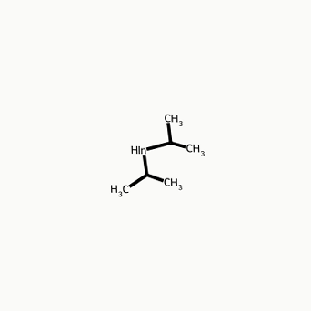 C[CH](C)[InH][CH](C)C